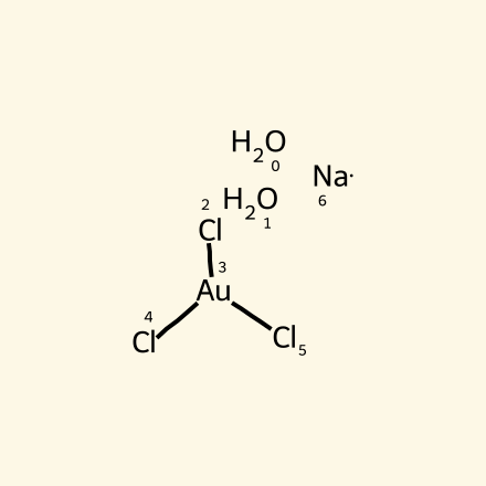 O.O.[Cl][Au]([Cl])[Cl].[Na]